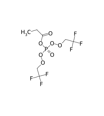 CCC(=O)OP(=O)(OOCC(F)(F)F)OOCC(F)(F)F